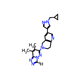 [2H]c1nnc2c(C)c(C)c(N3CCc4ncc(-c5cnn(CC6CC6)c5)cc4C3)nn12